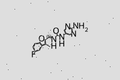 Cc1c([C@H](C)NC(=O)Nc2cnc(N)nc2)oc2ccc(F)cc12